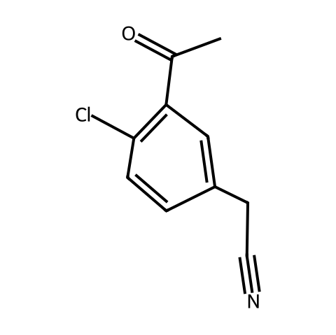 CC(=O)c1cc(CC#N)ccc1Cl